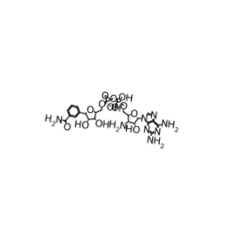 NC(=O)c1cccc(C2OC(COP(=O)(O)OP(=O)(O)OCC3OC(n4cnc5c(N)nc(N)nc54)C(O)C3N)C(O)C2O)c1